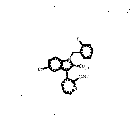 CCc1ccc2c(c1)c(-c1cccnc1OC)c(C(=O)O)n2Cc1ccccc1F